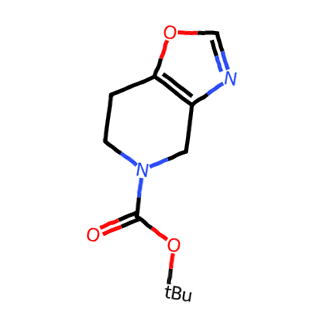 CC(C)(C)OC(=O)N1CCc2ocnc2C1